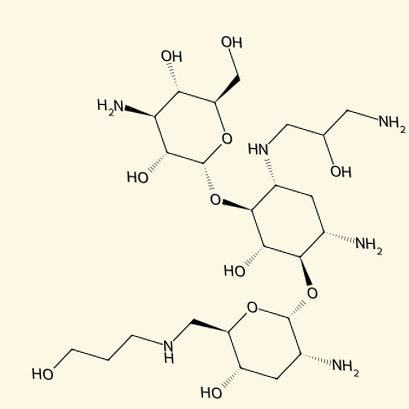 NCC(O)CN[C@@H]1C[C@H](N)[C@@H](O[C@H]2O[C@H](CNCCCO)[C@@H](O)C[C@H]2N)[C@H](O)[C@H]1O[C@H]1O[C@H](CO)[C@@H](O)[C@H](N)[C@H]1O